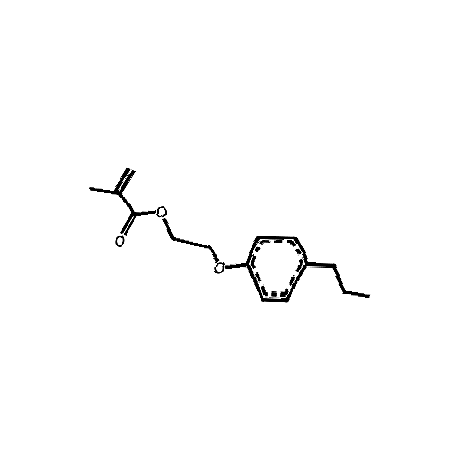 C=C(C)C(=O)OCCOc1ccc(CCC)cc1